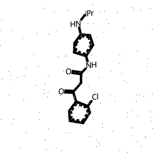 CC(C)Nc1ccc(NC(=O)CC(=O)c2ccccc2Cl)cc1